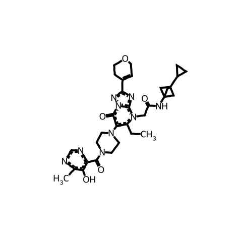 CCc1c(N2CCN(C(=O)c3ncnc(C)c3O)CC2)c(=O)n2nc(C3=CCOCC3)nc2n1CC(=O)NC12CC(C3CC3)(C1)C2